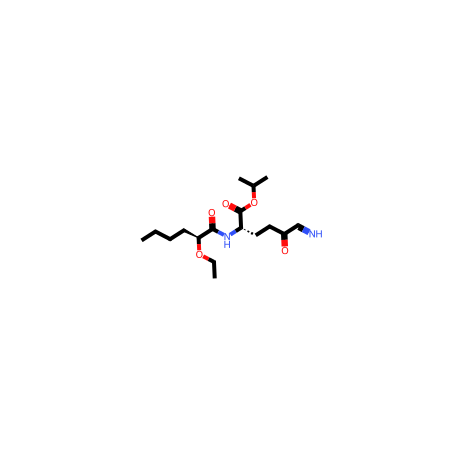 CCCC[C@H](OCC)C(=O)N[C@@H](CCC(=O)C=N)C(=O)OC(C)C